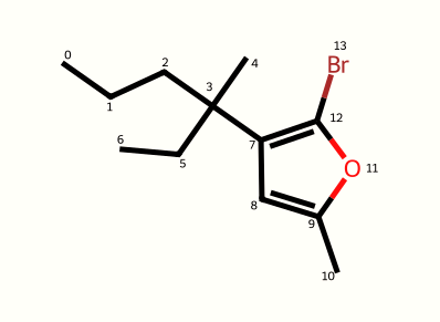 CCCC(C)(CC)c1cc(C)oc1Br